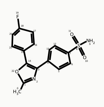 Cc1nc(-c2ccc(S(N)(=O)=O)cc2)c(-c2ccc(F)cc2)o1